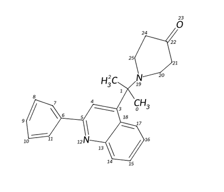 CC(C)(c1cc(-c2ccccc2)nc2ccccc12)N1CCC(=O)CC1